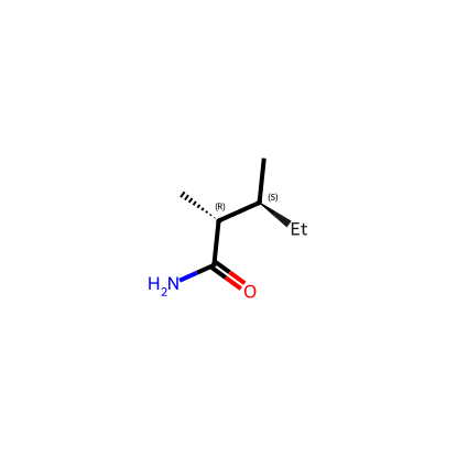 CC[C@H](C)[C@@H](C)C(N)=O